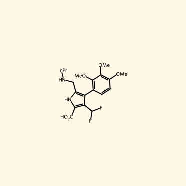 CCCNCc1[nH]c(C(=O)O)c(C(F)F)c1-c1ccc(OC)c(OC)c1OC